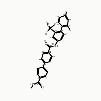 CNC(=O)c1ccc(-c2ccc(C(=O)Nc3ccc(-c4ccc(C)cc4C)c(C(F)(F)F)c3)cc2)cc1